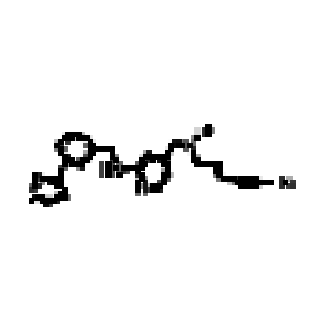 CCCN(CC=CC#CC(C)(C)C)Cc1ccnc(NCc2cccc(-c3ccsc3)c2)c1